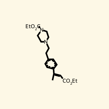 CCOC(=O)C=C(C)c1ccc(CCN2CCN(C(=O)OCC)CC2)cc1